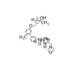 Cc1ccc(OCCCC(C)(C)O)cc1-c1ccnc(NC(=O)c2nnc(CN3CCOCC3)[nH]2)c1